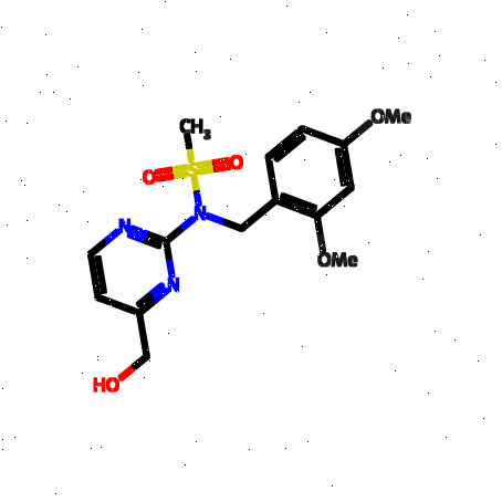 COc1ccc(CN(c2nccc(CO)n2)S(C)(=O)=O)c(OC)c1